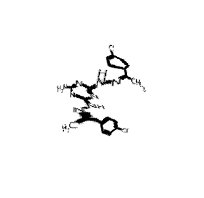 CC(=NNc1nc(N)nc(NN=C(C)c2ccc(Cl)cc2)n1)c1ccc(Cl)cc1